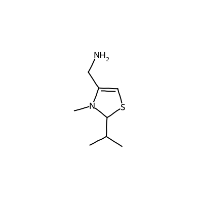 CC(C)C1SC=C(CN)N1C